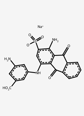 Nc1cc(Nc2cc(S(=O)(=O)[O-])c(N)c3c2C(=O)c2ccccc2C3=O)cc(C(=O)O)c1.[Na+]